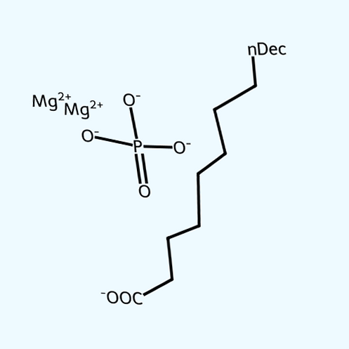 CCCCCCCCCCCCCCCCCC(=O)[O-].O=P([O-])([O-])[O-].[Mg+2].[Mg+2]